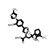 COC(=O)C(CC(C)(C)C12CCC(C1)C(C)=C2N)n1cc(-c2ccc(-n3cnc(C)c3)c(OC)c2)nn1